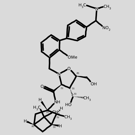 COc1c(CN2O[C@@H](CO)[C@H]([C@H](C)O)[C@H]2C(=O)N[C@H]2C[C@H]3C[C@@H]([C@@H]2C)C3(C)C)cccc1-c1ccc(C(N(C)C)[N+](=O)[O-])cc1